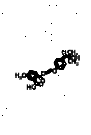 Cc1ccc(C(=O)OCCOc2ccc(C(=O)C(C)(C)O)cc2)c(C(=O)O)c1